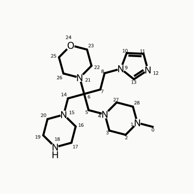 CN1CCN(CC(CCn2ccnc2)(CN2CCNCC2)N2CCOCC2)CC1